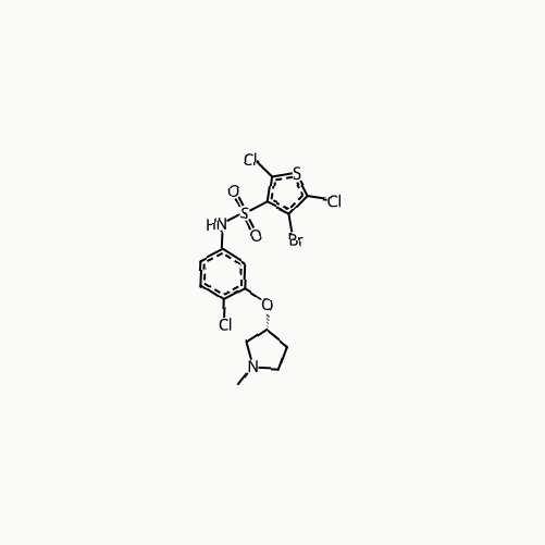 CN1CC[C@@H](Oc2cc(NS(=O)(=O)c3c(Cl)sc(Cl)c3Br)ccc2Cl)C1